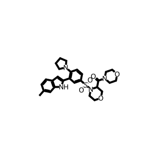 Cc1ccc2cc(-c3cc(S(=O)(=O)N4CCOCC4C(=O)N4CCOCC4)ccc3N3CCCC3)[nH]c2c1